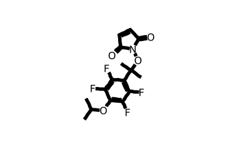 CC(C)Oc1c(F)c(F)c(C(C)(C)ON2C(=O)C=CC2=O)c(F)c1F